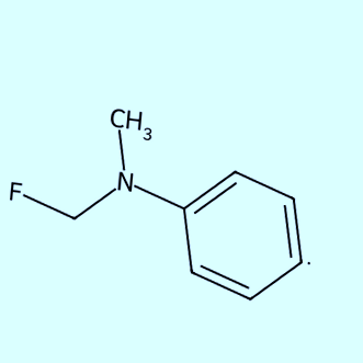 CN(CF)c1cc[c]cc1